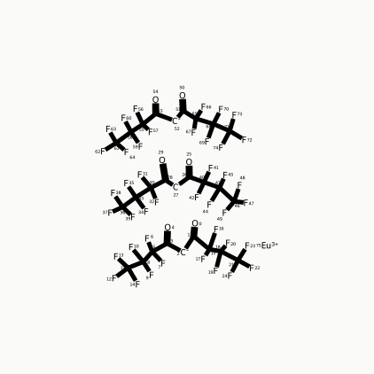 O=C([CH-]C(=O)C(F)(F)C(F)(F)C(F)(F)F)C(F)(F)C(F)(F)C(F)(F)F.O=C([CH-]C(=O)C(F)(F)C(F)(F)C(F)(F)F)C(F)(F)C(F)(F)C(F)(F)F.O=C([CH-]C(=O)C(F)(F)C(F)(F)C(F)(F)F)C(F)(F)C(F)(F)C(F)(F)F.[Eu+3]